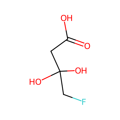 O=C(O)CC(O)(O)CF